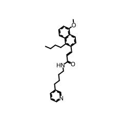 CCCCc1c(C=CC(=O)NCCCCc2cccnc2)ccc2c(OC)cccc12